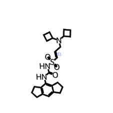 O=C(Nc1c2c(cc3c1CCC3)CCC2)NS(=O)(=O)/C=C/CN(C1CCC1)C1CCC1